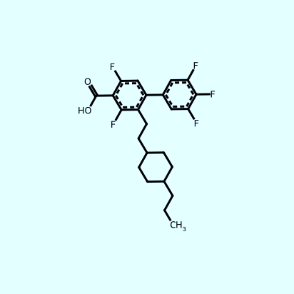 CCCC1CCC(CCc2c(-c3cc(F)c(F)c(F)c3)cc(F)c(C(=O)O)c2F)CC1